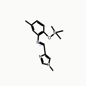 Cc1ccc(O[Si](C)(C)C)c(/N=C/c2cn(C)cn2)c1